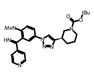 CNc1ccc(-n2cc([C@@H]3CCCN(C(=O)OC(C)(C)C)C3)nn2)cc1C(=N)c1ccncc1